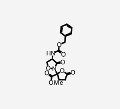 COC(=O)C1(N2OC[C@@H](NC(=O)OCc3ccccc3)C2=O)CCC(=O)O1